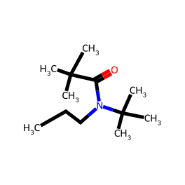 CCCN(C(=O)C(C)(C)C)C(C)(C)C